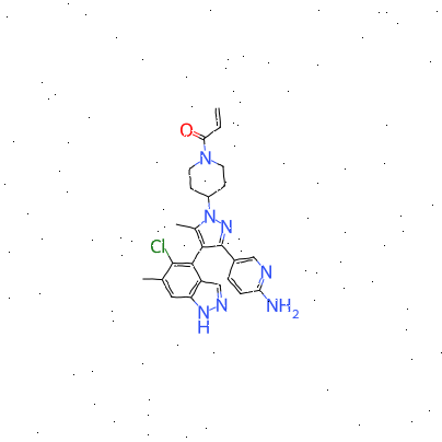 C=CC(=O)N1CCC(n2nc(-c3ccc(N)nc3)c(-c3c(Cl)c(C)cc4[nH]ncc34)c2C)CC1